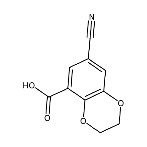 N#Cc1cc2c(c(C(=O)O)c1)OCCO2